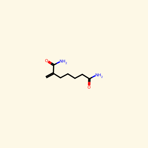 C=C(CCCCC(N)=O)C(N)=O